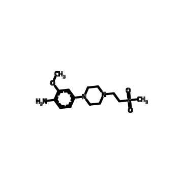 COc1cc(N2CCN(CCS(C)(=O)=O)CC2)ccc1N